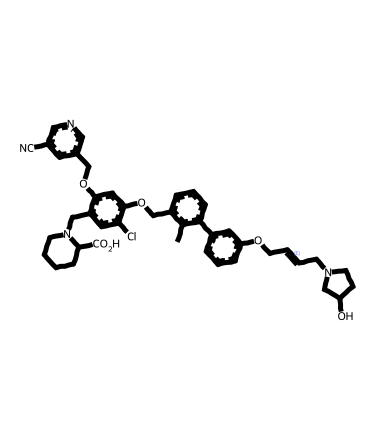 Cc1c(COc2cc(OCc3cncc(C#N)c3)c(CN3CCCCC3C(=O)O)cc2Cl)cccc1-c1cccc(OC/C=C/CN2CCC(O)C2)c1